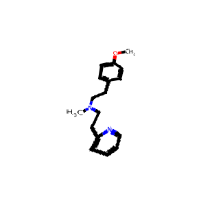 COc1ccc(CCN(C)CCc2ccccn2)cc1